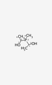 CC(O)P(C)C(C)O